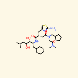 CC(C)C[C@H](O)[C@H](O)[C@H](CC1CCCCC1)NC(=O)[C@@H](CC(=O)N(CC(=O)N(C)C)CC1CCCC1)Cc1csc(N)n1